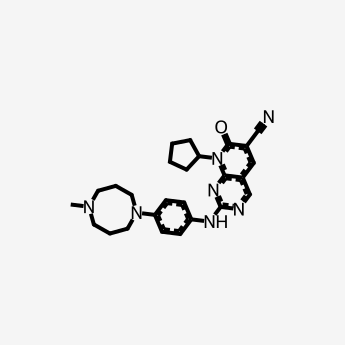 CN1CCCN(c2ccc(Nc3ncc4cc(C#N)c(=O)n(C5CCCC5)c4n3)cc2)CCC1